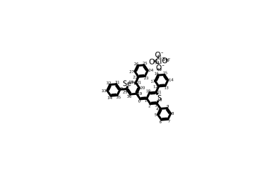 C(=C1C=C(c2ccccc2)SC(c2ccccc2)=C1)c1cc(-c2ccccc2)[se+]c(-c2ccccc2)c1.[O-][Cl+3]([O-])([O-])[O-]